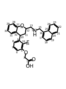 O=C(O)COc1cccc(C2CC(CNCc3cccc4ccccc34)Oc3ccccc32)c1F